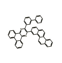 c1ccc(-c2cccc(-c3nc4c5ccccc5c5ccccc5c4nc3-c3ccc4ccc5c6ccccc6ccc5c4c3)c2)cc1